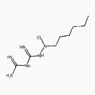 CCCCCCN(Cl)NC(=N)NC(=N)N